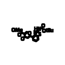 COC(=O)C1=COC(c2cccc3sc(NC(=O)OC(C)(C)C)nc23)CC1=O